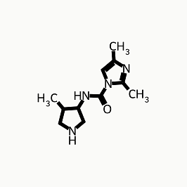 Cc1cn(C(=O)NC2CNCC2C)c(C)n1